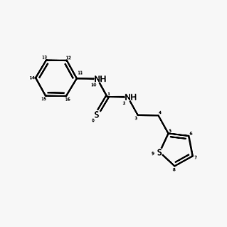 S=C(NCCc1cccs1)Nc1ccccc1